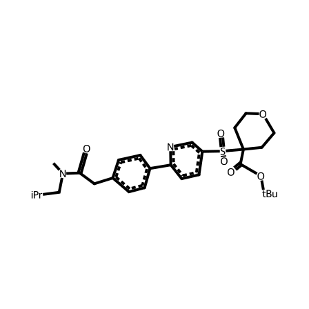 CC(C)CN(C)C(=O)Cc1ccc(-c2ccc(S(=O)(=O)C3(C(=O)OC(C)(C)C)CCOCC3)cn2)cc1